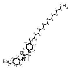 CCCCCCCCCCCCCCOc1ccc(CC(=O)Nc2ccc(CBr)cc2)cc1